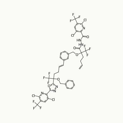 C=CCCC(OCc1cccc(/C=C/CCC(OCc2ccccc2)(c2nnc(-c3nc(Cl)c(C(F)(F)F)cc3Cl)o2)C(F)(F)F)c1)(C(=O)NNC(=O)c1nc(Cl)c(C(F)(F)F)cc1Cl)C(F)(F)F